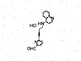 Cl.O=Cc1csc(C#CCCNc2ccnc3ccccc23)n1